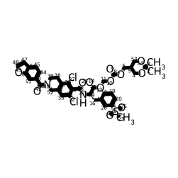 CC1(C)OCC(COC(=O)OCOC(=O)[C@H](Cc2cccc(S(C)(=O)=O)c2)NC(=O)c2c(Cl)cc3c(c2Cl)CCN(C(=O)c2ccc4ccoc4c2)C3)CO1